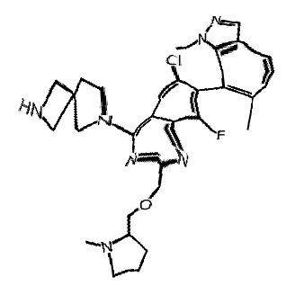 Cc1ccc2cnn(C)c2c1-c1c(Cl)cc2c(N3CCC4(CNC4)C3)nc(OCC3CCCN3C)nc2c1F